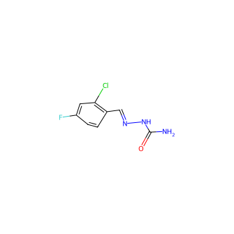 NC(=O)N/N=C/c1ccc(F)cc1Cl